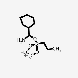 CCC[Si](OC)(OC)OC(N)C1CCCCC1